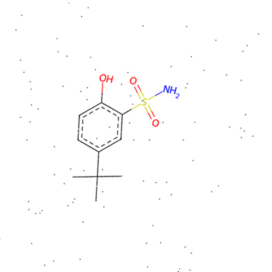 CC(C)(C)c1ccc(O)c(S(N)(=O)=O)c1